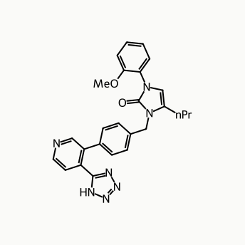 CCCc1cn(-c2ccccc2OC)c(=O)n1Cc1ccc(-c2cnccc2-c2nnn[nH]2)cc1